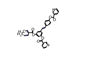 C/C=C\C(=C/C)C(=O)Oc1cc(/C=C/c2ccc(OC(=O)c3cccnc3)cc2)cc(OC(=O)c2cccnc2)c1